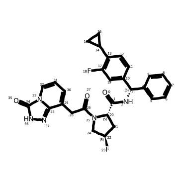 O=C(N[C@@H](c1ccccc1)c1ccc(C2CC2)c(F)c1)[C@@H]1C[C@@H](F)CN1C(=O)Cc1cccn2c(=O)[nH]nc12